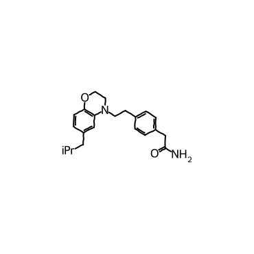 CC(C)Cc1ccc2c(c1)N(CCc1ccc(CC(N)=O)cc1)CCO2